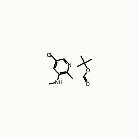 CC(C)(C)OC=O.CNc1cc(Cl)cnc1C